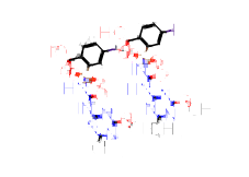 COc1nc(C)nc(NC(=O)NS(=O)(=O)c2cc(I)ccc2C(=O)O)n1.COc1nc(C)nc(NC(=O)NS(=O)(=O)c2cc(I)ccc2C(=O)O)n1